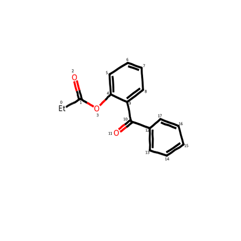 CCC(=O)Oc1ccccc1C(=O)c1ccccc1